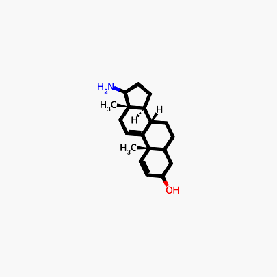 C[C@]12C=CC(O)CC1CC[C@@H]1C2=CC[C@]2(C)C(N)CC[C@@H]12